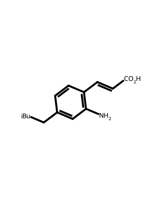 CCC(C)Cc1ccc(C=CC(=O)O)c(N)c1